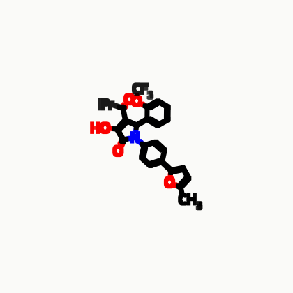 Cc1ccc(-c2ccc(N3C(=O)C(O)=C(C(=O)C(C)C)C3c3ccccc3OC(F)(F)F)cc2)o1